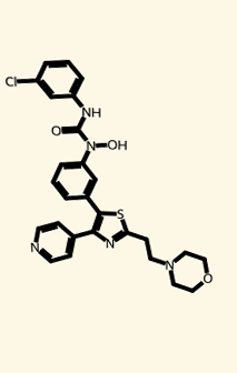 O=C(Nc1cccc(Cl)c1)N(O)c1cccc(-c2sc(CCN3CCOCC3)nc2-c2ccncc2)c1